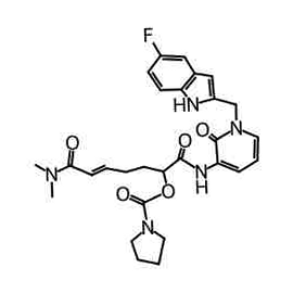 CN(C)C(=O)C=CCCC(OC(=O)N1CCCC1)C(=O)Nc1cccn(Cc2cc3cc(F)ccc3[nH]2)c1=O